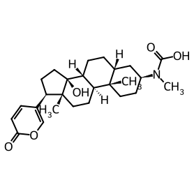 CN(C(=O)O)[C@H]1CC[C@@]2(C)[C@H](CC[C@@H]3[C@@H]2CC[C@]2(C)[C@@H](c4ccc(=O)oc4)CC[C@]32O)C1